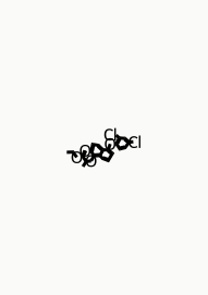 CCOC(=O)C(C)Oc1cccc2c(Oc3ccc(Cl)cc3Cl)cccc12